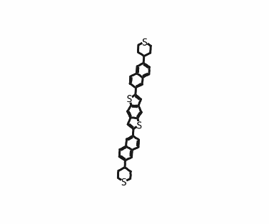 c1cc2cc(C3CCSCC3)ccc2cc1-c1cc2cc3sc(-c4ccc5cc(C6CCSCC6)ccc5c4)cc3cc2s1